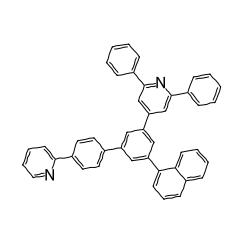 c1ccc(-c2cc(-c3cc(-c4ccc(-c5ccccn5)cc4)cc(-c4cccc5ccccc45)c3)cc(-c3ccccc3)n2)cc1